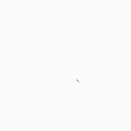 COC(=O)c1cccc(/C=N/c2ccc([C@@H]3CCCN(C(=O)O)C3)cc2)c1N=[N+]=[N-]